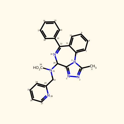 Cc1nnc2n1-c1ccccc1C(c1ccccc1)=NC2N(Cc1ccccn1)C(=O)O